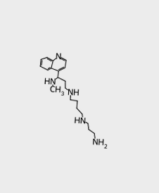 CNC(CCNCCCCNCCCN)c1ccnc2ccccc12